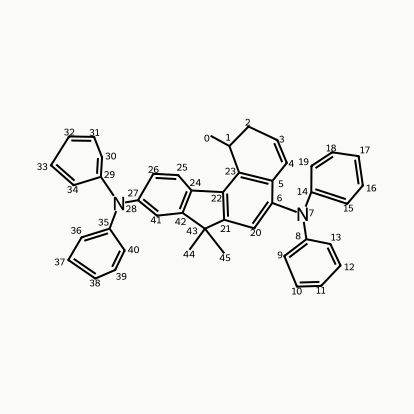 CC1CC=Cc2c(N(c3ccccc3)c3ccccc3)cc3c(c21)-c1ccc(N(c2ccccc2)c2ccccc2)cc1C3(C)C